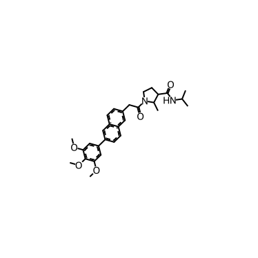 COc1cc(-c2ccc3cc(CC(=O)N4CCC(C(=O)NC(C)C)C4C)ccc3c2)cc(OC)c1OC